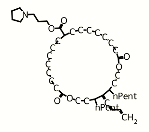 C=CC=C=C1C(CCCCC)CCOC(=O)CCCCCCCC(C(=O)OCCCN2CCCC2)CCCCCCCC(=O)OCCC1CCCCC